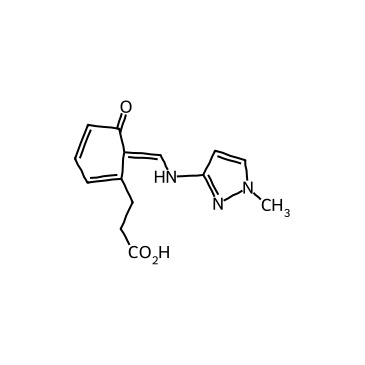 Cn1ccc(NC=C2C(=O)C=CC=C2CCC(=O)O)n1